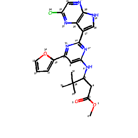 COC(=O)CC(Nc1cc(-c2ccco2)nc(-c2c[nH]c3ncc(Cl)nc23)n1)C(C)(C)C